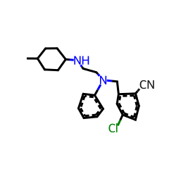 CC1CCC(NCCN(Cc2cc(Cl)ccc2C#N)c2ccccc2)CC1